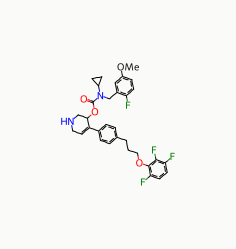 COc1ccc(F)c(CN(C(=O)OC2CNCC=C2c2ccc(CCCOc3c(F)ccc(F)c3F)cc2)C2CC2)c1